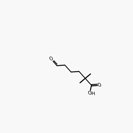 CC(C)(CCCC=O)C(=O)O